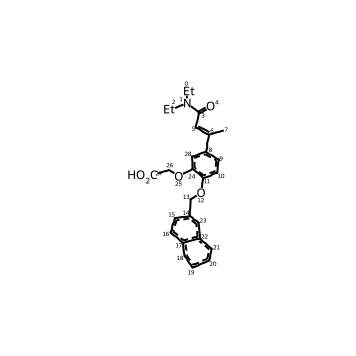 CCN(CC)C(=O)C=C(C)c1ccc(OCc2ccc3ccccc3c2)c(OCC(=O)O)c1